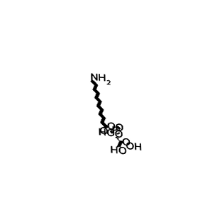 NCCCCCCCCCCCC(=O)OP(=O)(O)OC[C@@H](CO)OO